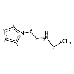 CCNCCn1cccc1